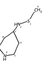 CSNC1CCNCC1